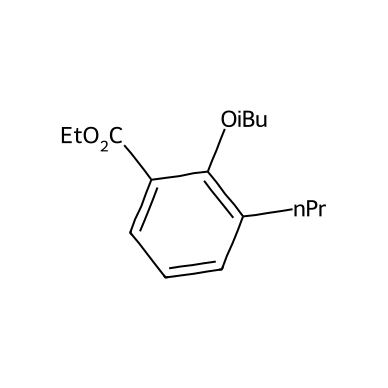 CCCc1cccc(C(=O)OCC)c1OCC(C)C